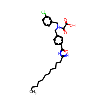 CCCCCCCCCCCc1noc(-c2ccc(CN(Cc3cccc(Cl)c3)C(=O)C(=O)O)cc2)n1